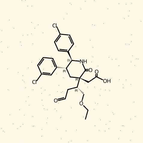 CCOC[C@H](CC=O)[C@]1(CC(=O)O)C[C@H](c2cccc(Cl)c2)[C@@H](c2ccc(Cl)cc2)NC1=O